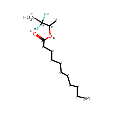 CC(C)CCCCCCCCCC(=O)OC(C)C(F)(F)S(=O)(=O)O